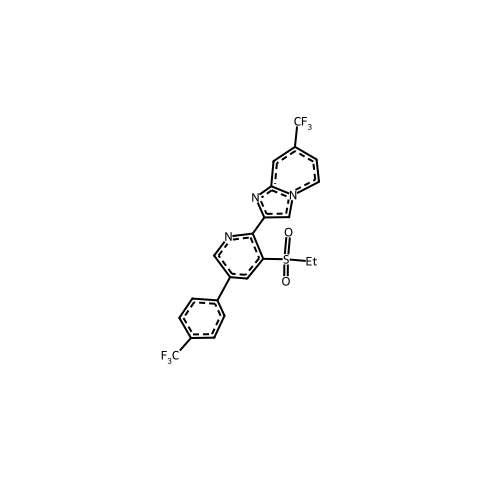 CCS(=O)(=O)c1cc(-c2ccc(C(F)(F)F)cc2)cnc1-c1cn2ccc(C(F)(F)F)cc2n1